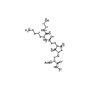 CCNC(=O)C(CSC1CC(=O)C(CCC(=O)NC(CCCCN)C(=O)NCCO)C1=O)NC(C)=O